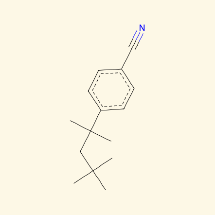 CC(C)(C)CC(C)(C)c1ccc(C#N)cc1